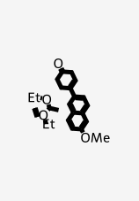 C=C.CCOC(C)OCC.COc1ccc2cc(C3=CCC(=O)CC3)ccc2c1